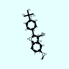 COc1ccc2oc(-c3ccc(C(C)(C)C)cc3)c(Br)c2c1